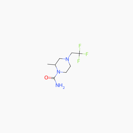 CC1CN(CC(F)(F)F)CCN1C(N)=O